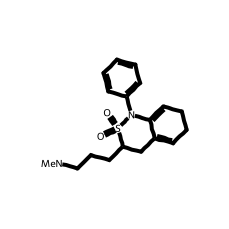 CNCCCC1CC2=CCCC=C2N(c2ccccc2)S1(=O)=O